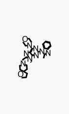 Cc1nc2ccccc2n1-c1nc(N2CCOCC2)c2nc(CN3CCC4(CCCO4)CC3)n(C)c2n1